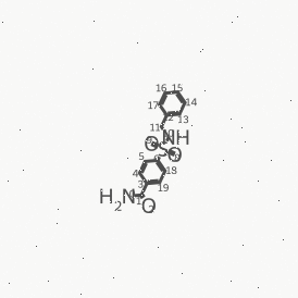 NC(=O)c1ccc(S(=O)(=O)NCc2ccccc2)cc1